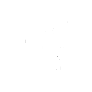 CCCCOC[C@H]1N[C@@H](c2cnc(N)[nH]c2=O)[C@@H]2OC(C)(C)O[C@@H]21